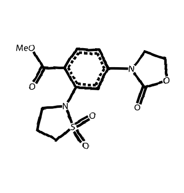 COC(=O)c1ccc(N2CCOC2=O)cc1N1CCCS1(=O)=O